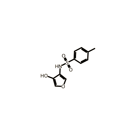 Cc1ccc(S(=O)(=O)Nc2cocc2O)cc1